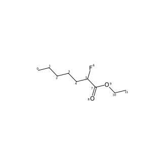 CCCCCC(F)C(=O)OCC